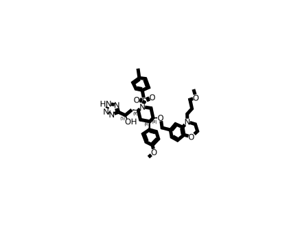 COCCCN1CCOc2ccc(CO[C@H]3CN(S(=O)(=O)c4ccc(C)cc4)[C@@H](C[C@H](O)c4nn[nH]n4)C[C@@H]3c3ccc(OC)cc3)cc21